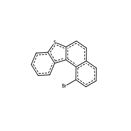 Brc1cccc2ccc3sc4ccccc4c3c12